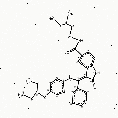 CCC(C)CCNC(=O)c1ccc2c(c1)C(=C(Nc1ccc(CN(CC)CC)cc1)c1ccccc1)C(=O)N2